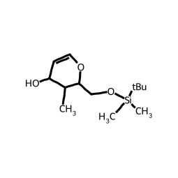 CC1C(O)C=COC1CO[Si](C)(C)C(C)(C)C